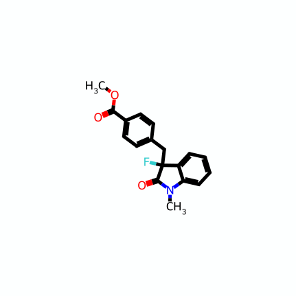 COC(=O)c1ccc(CC2(F)C(=O)N(C)c3ccccc32)cc1